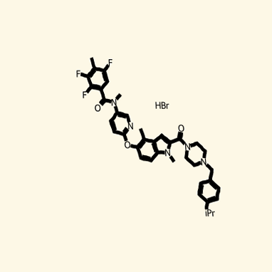 Br.Cc1c(F)cc(C(=O)N(C)c2ccc(Oc3ccc4c(cc(C(=O)N5CCN(Cc6ccc(C(C)C)cc6)CC5)n4C)c3C)nc2)c(F)c1F